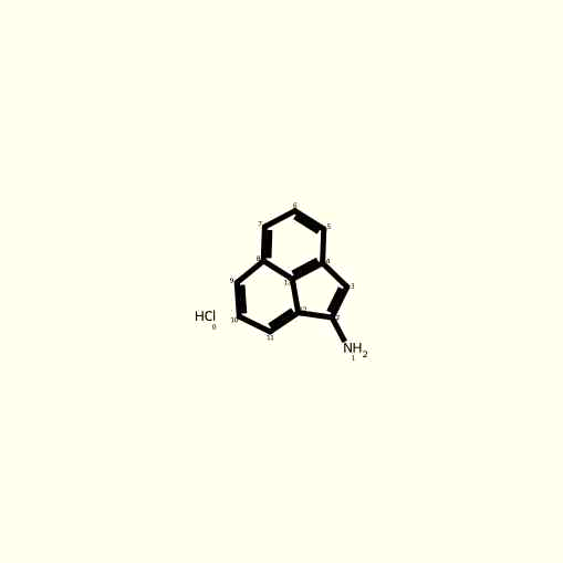 Cl.NC1=Cc2cccc3cccc1c23